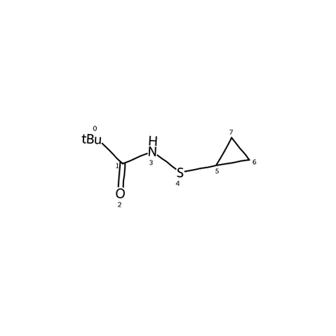 CC(C)(C)C(=O)NSC1CC1